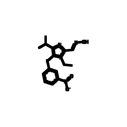 CCn1c(C=NO)nc(C(C)C)c1Sc1cccc([N+](=O)[O-])c1